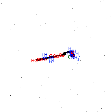 N=C(NCCCCc1ccc(OCCOCCOCCOCCNC(=O)NCCCCNC(=O)NCCOCCOCCO)cc1)NC(=O)c1nc(Cl)c(N)nc1N